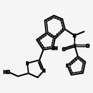 CN(c1cccc2cc(C3=NCC(CO)S3)[nH]c12)S(=O)(=O)c1cccs1